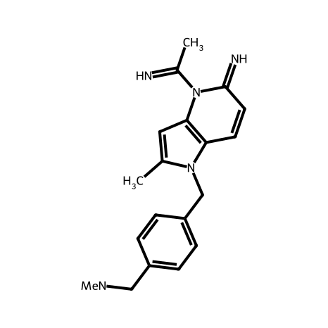 CNCc1ccc(Cn2c(C)cc3c2ccc(=N)n3C(C)=N)cc1